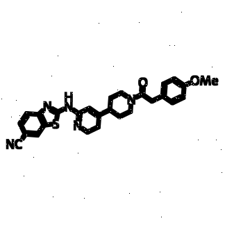 COc1ccc(CC(=O)N2CCC(C3=CC(Nc4nc5ccc(C#N)cc5s4)=NCC3)CC2)cc1